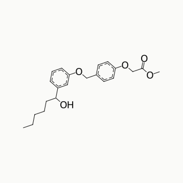 CCCCCC(O)c1cccc(OCc2ccc(OCC(=O)OC)cc2)c1